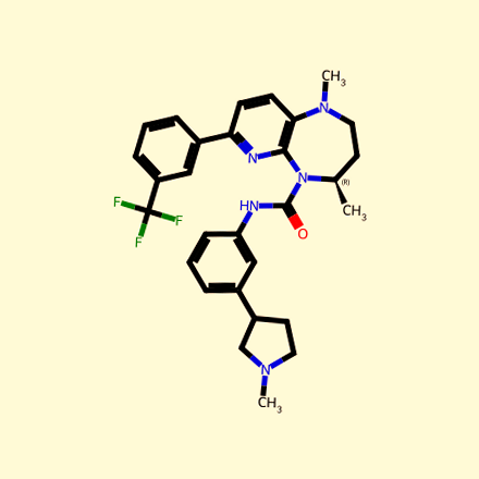 C[C@@H]1CCN(C)c2ccc(-c3cccc(C(F)(F)F)c3)nc2N1C(=O)Nc1cccc(C2CCN(C)C2)c1